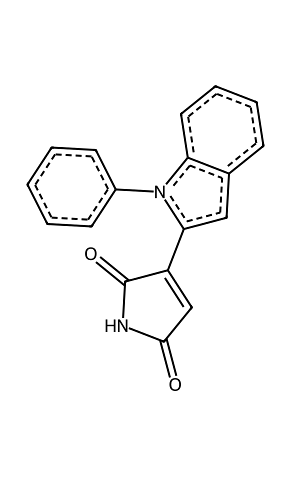 O=C1C=C(c2cc3ccccc3n2-c2ccccc2)C(=O)N1